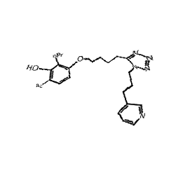 CCCc1c(OCCCCc2nnnn2CCCc2cccnc2)ccc(C(C)=O)c1O